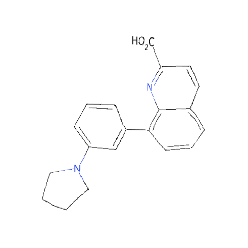 O=C(O)c1ccc2cccc(-c3cccc(N4CCCC4)c3)c2n1